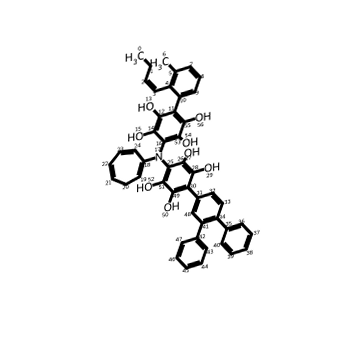 CC/C=C\c1c(C)cccc1-c1c(O)c(O)c(N(C2=CCC=CC=C2)c2c(O)c(O)c(-c3ccc(-c4ccccc4)c(-c4ccccc4)c3)c(O)c2O)c(O)c1O